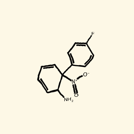 NC1C=CC=CC1(c1ccc(F)cc1)[N+](=O)[O-]